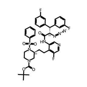 CC(C)(C)OC(=O)N1CCN(S(=O)(=O)c2ccccc2)[C@@H](CCc2c(F)cncc2NC(=O)[C@@H](N=[N+]=[N-])C(c2cccc(F)c2)c2cccc(F)c2)C1